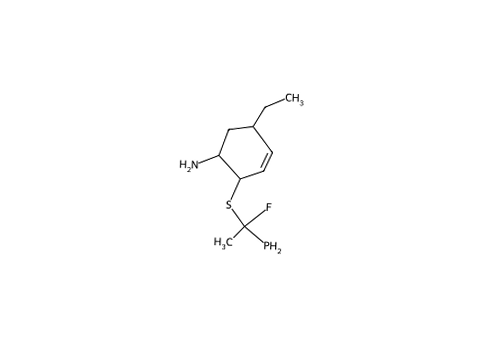 CCC1C=CC(SC(C)(F)P)C(N)C1